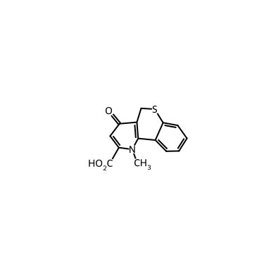 Cn1c(C(=O)O)cc(=O)c2c1-c1ccccc1SC2